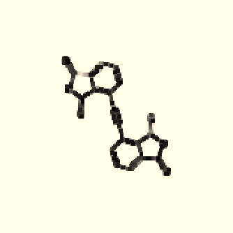 O=C1OC(=O)c2c(C#Cc3cccc4c3C(=O)OC4=O)cccc21